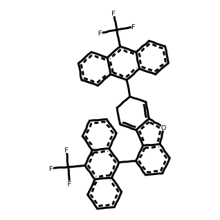 FC(F)(F)c1c2ccccc2c(-c2cccc3oc4c(c23)=CCC(c2c3ccccc3c(C(F)(F)F)c3ccccc23)C=4)c2ccccc12